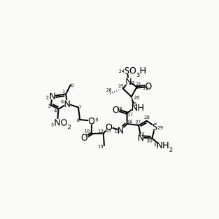 Cc1ncc([N+](=O)[O-])n1CCOC(=O)C(C)ON=C(C(=O)N[C@@H]1C(=O)N(S(=O)(=O)O)[C@H]1C)c1csc(N)n1